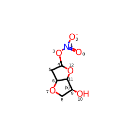 O=[N+]([O-])OC1CC2OC[C@H](O)C2O1